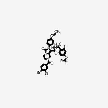 C[C@H](NC(=O)c1c2n(c(=O)n1-c1ccc(OCC(F)(F)F)cc1)CCN(C(=O)c1ccc(Br)c(Cl)c1)C2)c1ccc(OC(F)F)cc1F